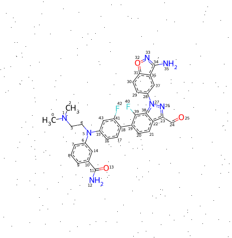 CN(C)CCN(c1cccc(C(N)=O)c1)c1ccc(-c2ccc3c(C=O)nn(-c4ccc5onc(N)c5c4)c3c2F)c(F)c1